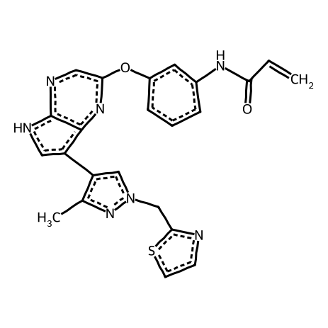 C=CC(=O)Nc1cccc(Oc2cnc3[nH]cc(-c4cn(Cc5nccs5)nc4C)c3n2)c1